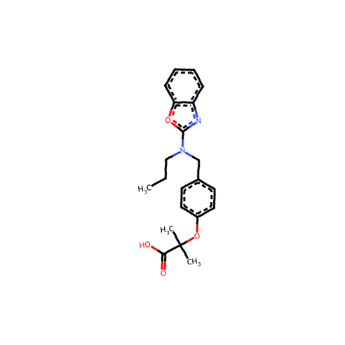 CCCN(Cc1ccc(OC(C)(C)C(=O)O)cc1)c1nc2ccccc2o1